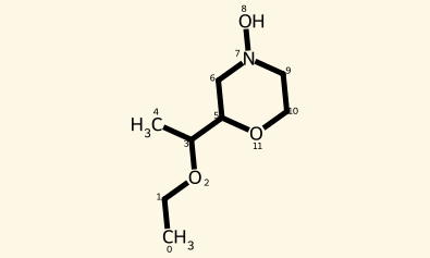 CCOC(C)C1CN(O)CCO1